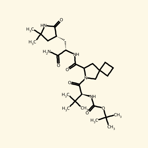 CC1(C)C[C@@H](C[C@H](NC(=O)C2CC3(CCC3)CN2C(=O)[C@@H](NC(=O)OC(C)(C)C)C(C)(C)C)C(N)=O)C(=O)N1